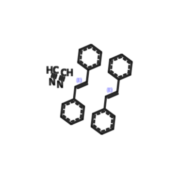 C#N.C#N.C(=C\c1ccccc1)/c1ccccc1.C(=C\c1ccccc1)/c1ccccc1